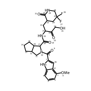 COc1cccc2[nH]c(C(=O)N3CC4CCCC4C3C(=O)NC(CC3CC(F)(F)CNC3=O)C(=O)CO)cc12